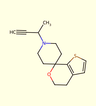 C#CC(C)N1CCC2(CC1)OCCc1ccsc12